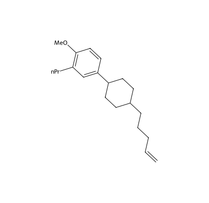 C=CCCCC1CCC(c2ccc(OC)c(CCC)c2)CC1